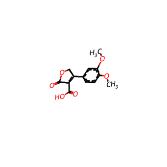 COc1ccc(C2=C(C(=O)O)C(=O)OC2)cc1OC